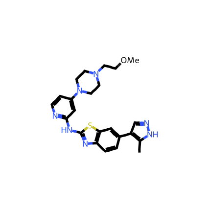 COCCN1CCN(c2ccnc(Nc3nc4ccc(-c5cn[nH]c5C)cc4s3)c2)CC1